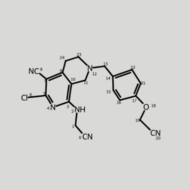 N#CCNc1nc(Cl)c(C#N)c2c1CN(Cc1ccc(OCC#N)cc1)CC2